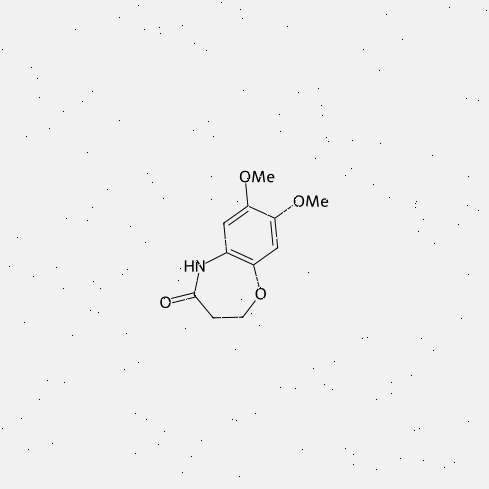 COc1cc2c(cc1OC)OCCC(=O)N2